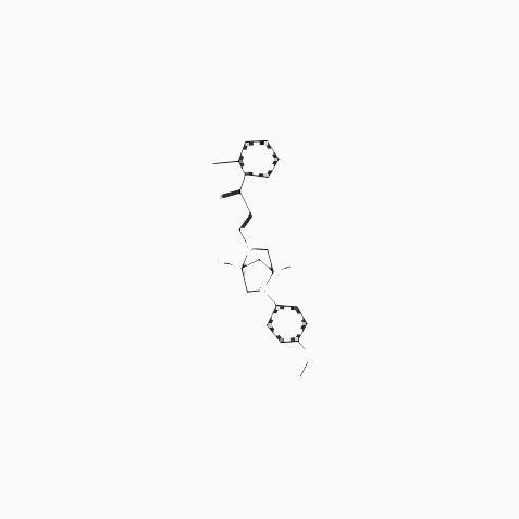 COc1ccc(N2C[C@H]3C[C@@H]2CN3/C=C/C(=O)c2ccccc2Cl)cc1